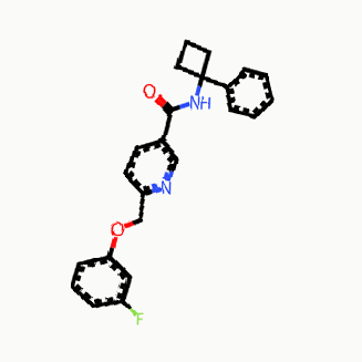 O=C(NC1(c2ccccc2)CCC1)c1ccc(COc2cccc(F)c2)nc1